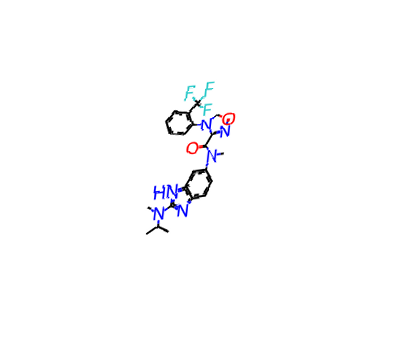 CC(C)N(C)c1nc2ccc(N(C)C(=O)C3=NOCN3c3ccccc3C(F)(F)F)cc2[nH]1